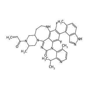 C=CC(=O)N1CC2CCNc3c(F)c(-c4c(C)ccc5[nH]ncc45)c(F)c4c3c(nc(=O)n4-c3c(C)ccnc3C(C)C)N2CC1C